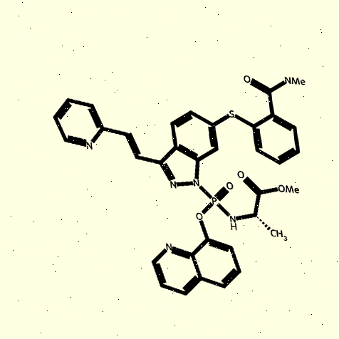 CNC(=O)c1ccccc1Sc1ccc2c(/C=C/c3ccccn3)nn(P(=O)(N[C@@H](C)C(=O)OC)Oc3cccc4cccnc34)c2c1